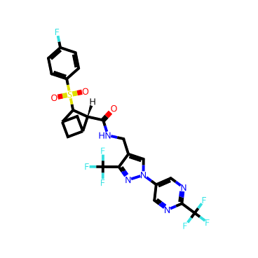 O=C(NCc1cn(-c2cnc(C(F)(F)F)nc2)nc1C(F)(F)F)[C@@H]1C2CC(C2)C1S(=O)(=O)c1ccc(F)cc1